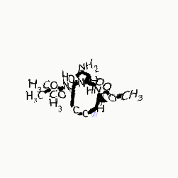 CCOC(=O)[C@@]12C[C@H]1/C=C\CCCCC[C@H](NC(=O)OC(C)(C)C)C(=O)N1C[C@H](N)C[C@H]1C(=O)N2